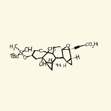 CC(C)(C)[Si](C)(C)O[C@H]1CC[C@]2(C)C3CC[C@]45O[C@@]4(C#CC(=O)O)[C@H]4C[C@H]4C5C3[C@H]3C[C@H]3[C@]2(O)C1